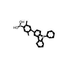 Cc1cc(-c2ccc3c(c2)c2ccccc2n3-c2ccccc2)c(C)cc1B(O)O